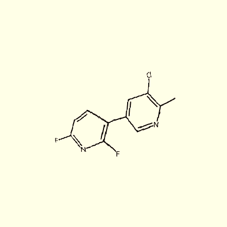 Cc1ncc(-c2ccc(F)nc2F)cc1Cl